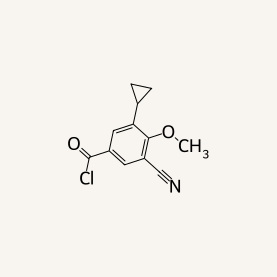 COc1c(C#N)cc(C(=O)Cl)cc1C1CC1